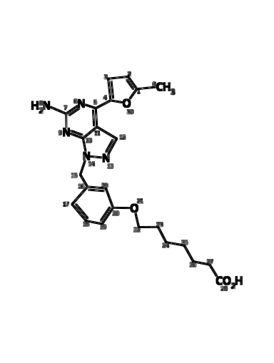 Cc1ccc(-c2nc(N)nc3c2cnn3Cc2cccc(OCCCCCCC(=O)O)c2)o1